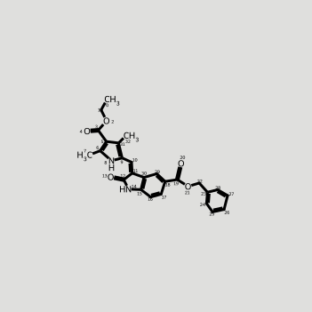 CCOC(=O)c1c(C)[nH]c(C=C2C(=O)Nc3ccc(C(=O)OCc4ccccc4)cc32)c1C